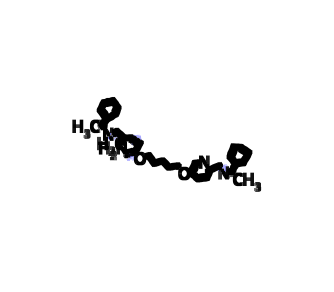 C=C(/C=C\C(=C/N)OCCCCCOc1ccc(/C=N/[C@@H](C)c2ccccc2)nc1)/C=N/[C@@H](C)c1ccccc1